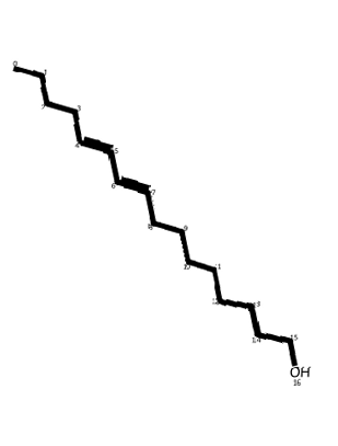 CCCCC=CC=CCCCCCCCCO